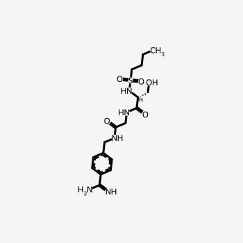 CCCCS(=O)(=O)N[C@H](CO)C(=O)NCC(=O)NCc1ccc(C(=N)N)cc1